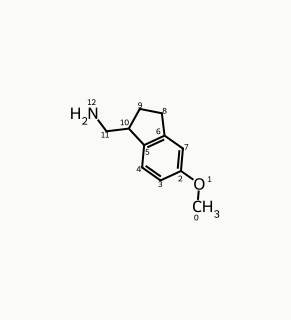 COc1ccc2c(c1)CCC2CN